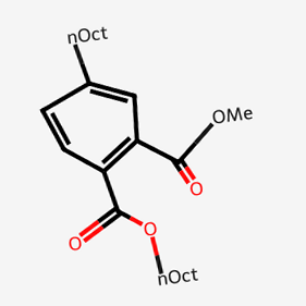 CCCCCCCCOC(=O)c1ccc(CCCCCCCC)cc1C(=O)OC